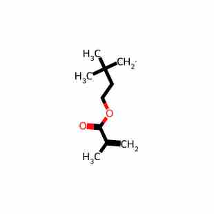 [CH2]C(C)(C)CCOC(=O)C(=C)C